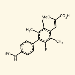 CO/C(=C\c1c(C)c(F)c(-c2ccc(NC(C)C)cc2)c(C)c1F)C(=O)O